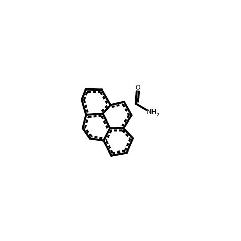 NC=O.c1cc2ccc3cccc4ccc(c1)c2c34